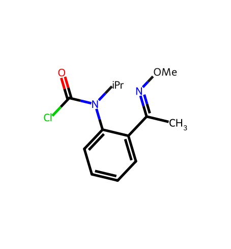 CON=C(C)c1ccccc1N(C(=O)Cl)C(C)C